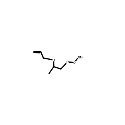 C=CCO[C](C)COOC(C)(C)C